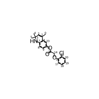 CC1=CC(C)(C)Nc2ccc(OC(=O)COc3ccccc3Cl)cc21